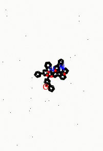 c1ccc(-c2cccc(-c3ccccc3N(c3ccc(-c4ccc5oc6ccccc6c5c4)cc3)c3cc4c5c(c3)c3ccccc3n5-c3ccccc3C43c4ccccc4-c4ccccc43)c2)cc1